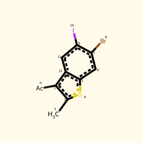 CC(=O)c1c(C)sc2cc(Br)c(I)cc12